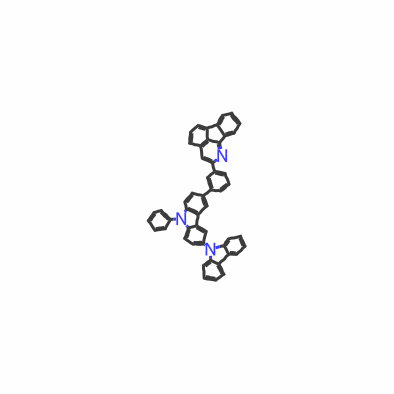 c1ccc(-n2c3ccc(-c4cccc(-c5cc6cccc7c6c(n5)-c5ccccc5-7)c4)cc3c3cc(-n4c5ccccc5c5ccccc54)ccc32)cc1